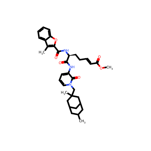 COC(=O)/C=C/CC[C@H](NC(=O)c1oc2ccccc2c1C)C(=O)Nc1cccn(CC2(C)CC3CC(C)CC(C3)C2)c1=O